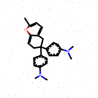 CC1=CC=C2CC(c3ccc(N(C)C)cc3)(c3ccc(N(C)C)cc3)CC=C2O1